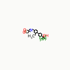 CCc1cc(CN2CC3(CCS(=O)(=O)C3)C2)ccc1-c1ccc(C(O)(C(F)(F)F)C(F)(F)F)cc1